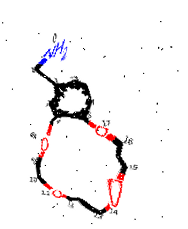 NCc1ccc2c(c1)OCCOCCOCCO2